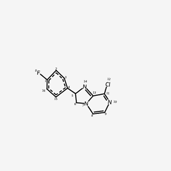 Fc1ccc(C2CN3C=CN=C(Cl)C3=N2)cc1